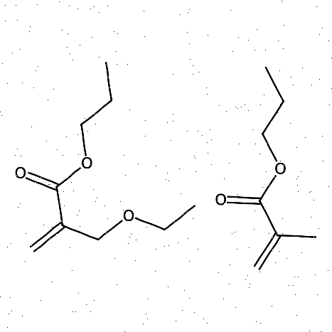 C=C(C)C(=O)OCCC.C=C(COCC)C(=O)OCCC